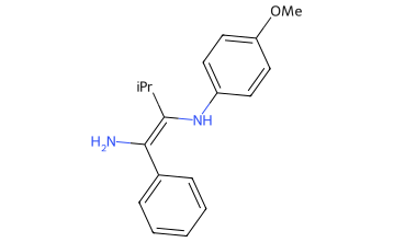 COc1ccc(N/C(=C(/N)c2ccccc2)C(C)C)cc1